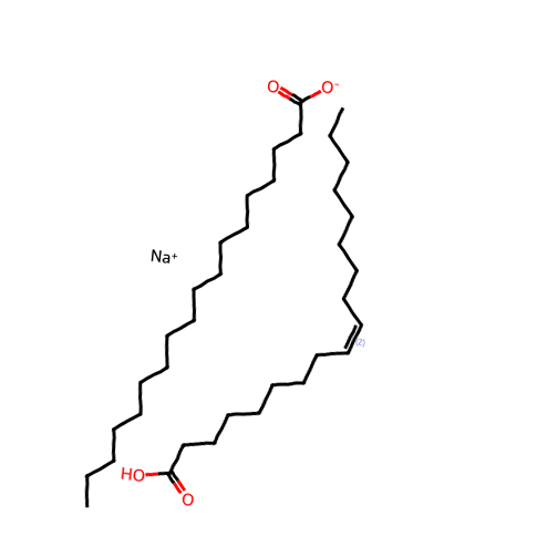 CCCCCCCC/C=C\CCCCCCCC(=O)O.CCCCCCCCCCCCCCCCCC(=O)[O-].[Na+]